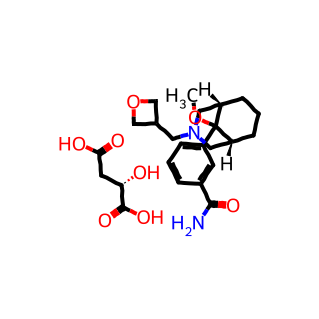 COC1(c2cccc(C(N)=O)c2)[C@@H]2CCC[C@H]1CN(CC1COC1)C2.O=C(O)C[C@H](O)C(=O)O